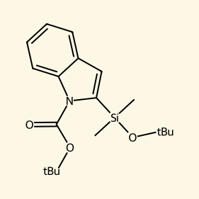 CC(C)(C)OC(=O)n1c([Si](C)(C)OC(C)(C)C)cc2ccccc21